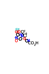 CN(C(=O)c1cccc(-n2nc(C(F)(F)F)c3c2C(Oc2ccc(C(=O)O)nc2)CCC3)c1)c1ccc2c(c1)OC(F)(F)O2